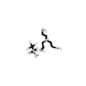 NCCN(CCN)CCN.O=S(=O)(O)C(F)(F)F